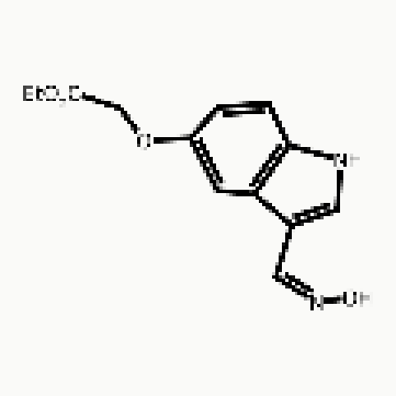 CCOC(=O)COc1ccc2[nH]cc(/C=N\O)c2c1